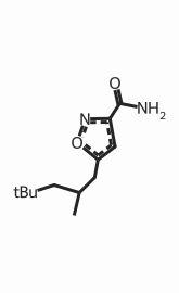 CC(Cc1cc(C(N)=O)no1)CC(C)(C)C